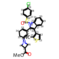 COC(=O)C1CN(C2=CC(c3c(-c4ccsc4C#N)c4ccccc4n3[S+]([O-])c3ccc(Cl)cc3)=CCC2)C1